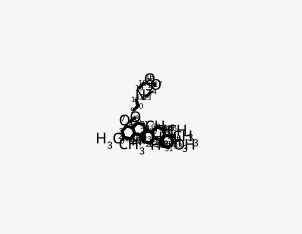 CC1(C)CC[C@]2(C(=O)OCCCN3CCS(=O)(=O)CC3)CC[C@]3(C)C(=CC[C@@H]4[C@@]5(C)CC[C@H](O)C(C)(C)[C@@H]5CC[C@]43C)[C@@H]2C1